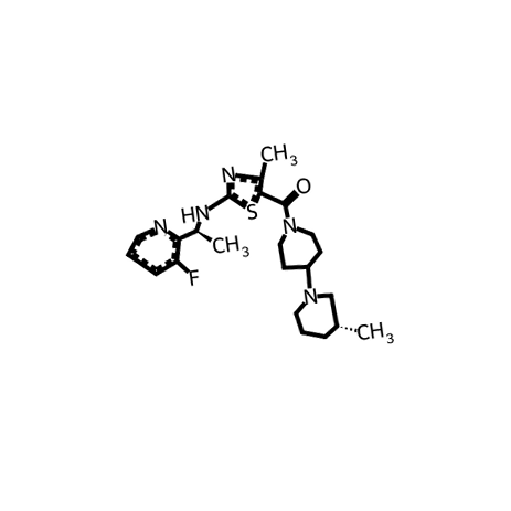 Cc1nc(N[C@@H](C)c2ncccc2F)sc1C(=O)N1CCC(N2CCC[C@@H](C)C2)CC1